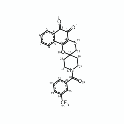 O=C1C(=O)c2ccccc2C2=C1SCC1(CCN(C(=O)c3cccc(C(F)(F)F)c3)CC1)O2